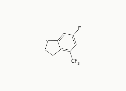 Fc1cc2c(c(C(F)(F)F)c1)CC[CH]2